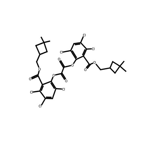 CC1(C)CC(COC(=O)c2c(Cl)c(Cl)cc(Cl)c2OC(=O)C(=O)Oc2c(Cl)cc(Cl)c(Cl)c2C(=O)OCC2CC(C)(C)C2)C1